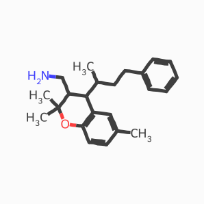 Cc1ccc2c(c1)C(C(C)CCc1ccccc1)C(CN)C(C)(C)O2